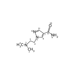 CN(C)CCn1cc(C(N)=O)cn1